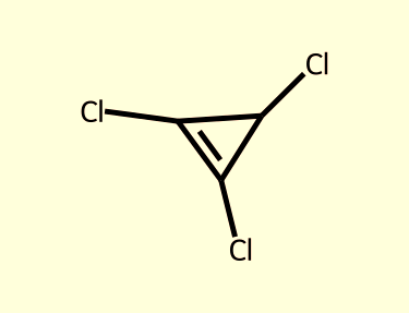 ClC1=C(Cl)C1Cl